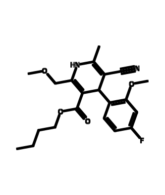 CCCCOC(=O)C1=C(COC)NC(C)=C(C#N)C1c1ccc(F)cc1OC